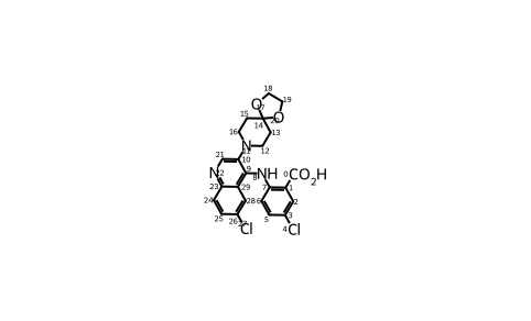 O=C(O)c1cc(Cl)ccc1Nc1c(N2CCC3(CC2)OCCO3)cnc2ccc(Cl)cc12